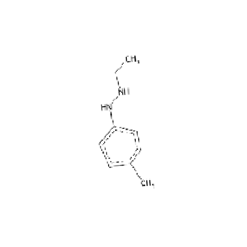 CCNNc1ccc(C)cc1